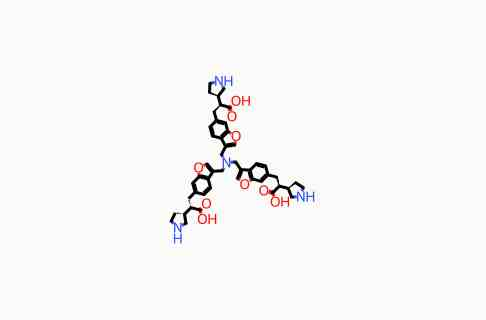 O=C(O)[C@@H](Cc1ccc2c(CN(Cc3coc4cc(C[C@H](C(=O)O)[C@H]5CCNC5)ccc34)Cc3coc4cc(C[C@H](C(=O)O)[C@H]5CCNC5)ccc34)coc2c1)[C@H]1CCNC1